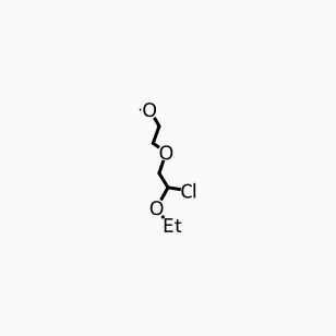 CCOC(Cl)COCC[O]